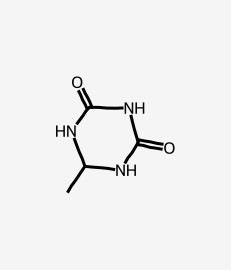 CC1NC(=O)NC(=O)N1